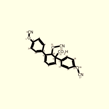 N#COc1ccc(C2=CC=CC(C(=O)O)(c3ccc(OC#N)cc3)C2OC#N)cc1